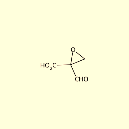 O=CC1(C(=O)O)CO1